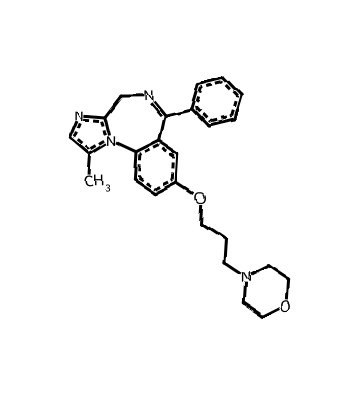 Cc1cnc2n1-c1ccc(OCCCN3CCOCC3)cc1C(c1ccccc1)=NC2